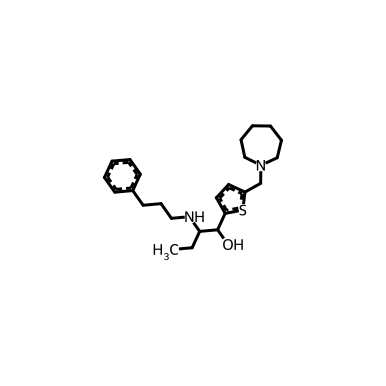 CCC(NCCCc1ccccc1)C(O)c1ccc(CN2CCCCCC2)s1